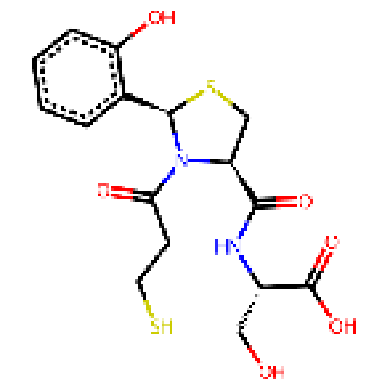 O=C(O)[C@H](CO)NC(=O)[C@@H]1CS[C@H](c2ccccc2O)N1C(=O)CCS